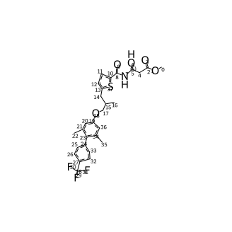 COC(=O)C[C@H](O)NC(=O)c1ccc(CC(C)COc2cc(C)c(-c3ccc(C(F)(F)F)cc3)c(C)c2)s1